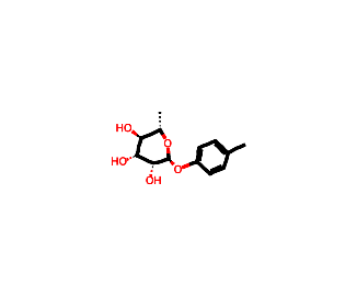 Cc1ccc(O[C@@H]2O[C@@H](C)[C@H](O)[C@@H](O)[C@H]2O)cc1